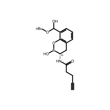 C#CCCC(=O)N[C@H]1Cc2cccc(C(O)OCCCC)c2OB1O